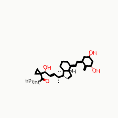 C=C1/C(=C\C=C2/CCC[C@]3(C)[C@@H]([C@H](C)/C=C/[C@@H](O)C4(C(=O)CCCCC)CC4)CC[C@@H]23)C[C@@H](O)C[C@@H]1O